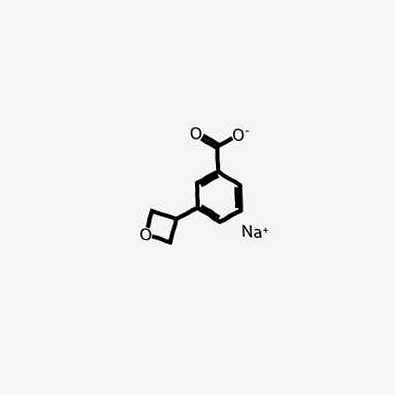 O=C([O-])c1cccc(C2COC2)c1.[Na+]